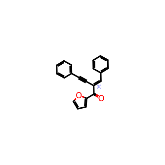 O=C(/C(C#Cc1ccccc1)=C/c1ccccc1)c1ccco1